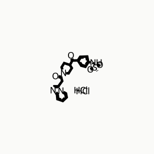 CS(=O)(=O)Nc1ccc(C(=O)C2CCN(C(=O)Cc3cnc4ccccn34)CC2)cc1.Cl.Cl